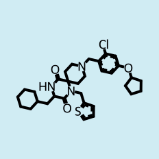 O=C1C(CC2CCCCC2)NC(=O)C2(CCN(Cc3ccc(OC4CCCC4)cc3Cl)CC2)N1Cc1cccs1